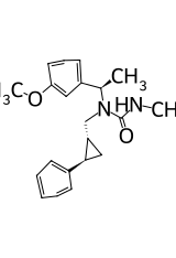 CNC(=O)N(C[C@@H]1C[C@H]1c1ccccc1)[C@H](C)c1cccc(OC)c1